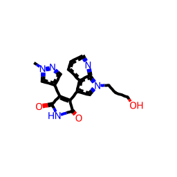 Cn1cc(C2=C(c3cn(CCCO)c4ncccc34)C(=O)NC2=O)cn1